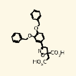 O=C(O)CC1(C(=O)O)CC(c2ccc(OCc3ccccc3)c(OCc3ccccc3)c2)=NO1